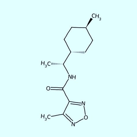 Cc1nonc1C(=O)N[C@H](C)[C@H]1CC[C@H](C)CC1